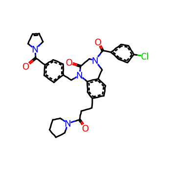 O=C(CCc1ccc2c(c1)N(Cc1ccc(C(=O)N3CC=CC3)cc1)C(=O)CN(C(=O)c1ccc(Cl)cc1)C2)N1CCCCC1